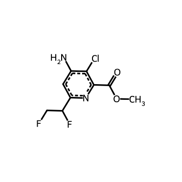 COC(=O)c1nc(C(F)CF)cc(N)c1Cl